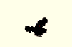 C=Cc1oc2c3c(c4ccccc4c2c1Cc1cccc2c1sc1ccccc12)C(C)(C)c1cccc(N(c2ccccc2)c2ccc4c(c2)sc2ccccc24)c1-3